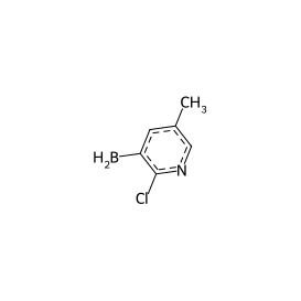 Bc1cc(C)cnc1Cl